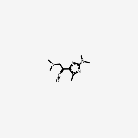 Cc1nc(N(C)C)sc1C(=C=O)CN(C)C